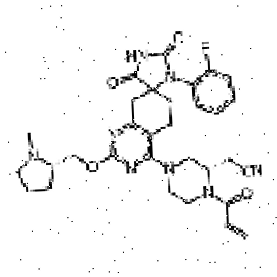 C=CC(=O)N1CCN(c2nc(OC[C@@H]3CCCN3C)nc3c2CCC2(C3)C(=O)NC(=O)N2c2ccccc2F)C[C@@H]1CC#N